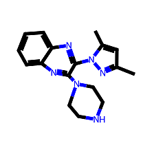 Cc1cc(C)n(-c2nc3ccccc3nc2N2CCNCC2)n1